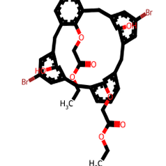 CCOC(=O)COc1c2cccc1Cc1cc(Br)cc(c1O)Cc1cccc(c1OCC(=O)OCC)Cc1cc(Br)cc(c1O)C2